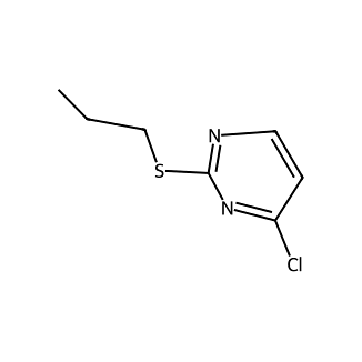 CCCSc1nccc(Cl)n1